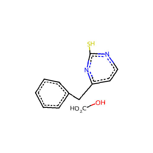 O=C(O)O.Sc1nccc(Cc2ccccc2)n1